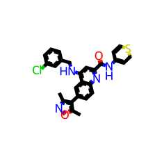 Cc1noc(C)c1-c1ccc2nc(C(=O)NC3=CCSC=C3)cc(NCc3cccc(Cl)c3)c2c1